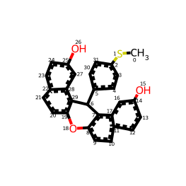 CSc1ccc(C2c3c(ccc4ccc(O)cc34)Oc3ccc4ccc(O)cc4c32)cc1